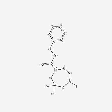 CC1CSN(C(=O)OCc2ccccc2)CC(C)(C)C1